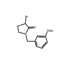 COc1cccc(CN2CCC(Br)C2=O)c1